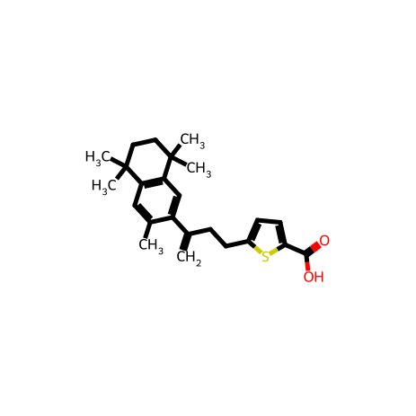 C=C(CCc1ccc(C(=O)O)s1)c1cc2c(cc1C)C(C)(C)CCC2(C)C